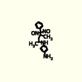 CC(CC(C)C(N=O)(N=O)c1ccccc1)Nc1ccc(N)cc1